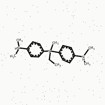 CC[Si](C)(c1ccc([SiH](C)C)cc1)c1ccc([SiH](C)C)cc1